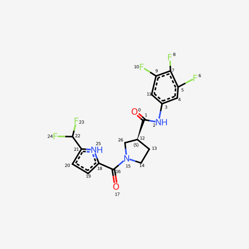 O=C(Nc1cc(F)c(F)c(F)c1)[C@H]1CCN(C(=O)c2ccc(C(F)F)[nH]2)C1